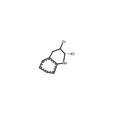 CCC1Cc2ccccc2N[C@H]1CC